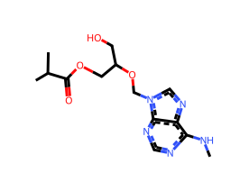 CNc1ncnc2c1ncn2COC(CO)COC(=O)C(C)C